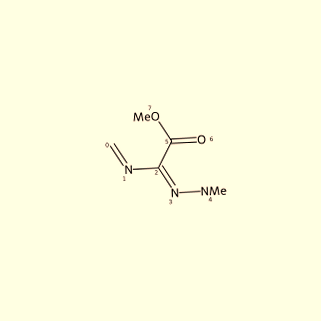 C=N/C(=N/NC)C(=O)OC